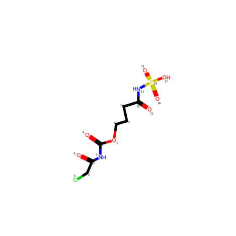 O=C(CCl)NC(=O)OCCCC(=O)NS(=O)(=O)O